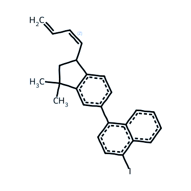 C=C/C=C\C1CC(C)(C)c2cc(-c3ccc(I)c4ccccc34)ccc21